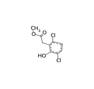 COC(=O)Cc1c(Cl)ccc(Cl)c1O